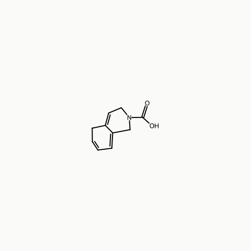 O=C(O)N1CC=C2CC=CC=C2C1